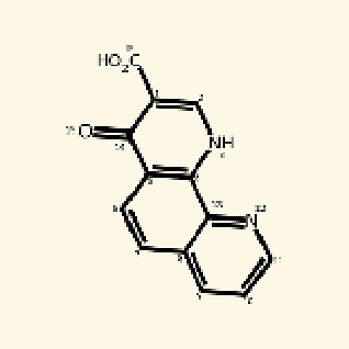 O=C(O)c1c[nH]c2c(ccc3cccnc32)c1=O